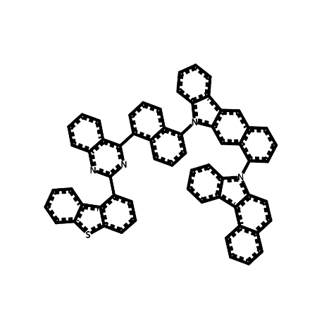 c1cc(-n2c3ccccc3c3c4ccccc4ccc32)c2cc3c(cc2c1)c1ccccc1n3-c1cccc2c(-c3nc(-c4cccc5sc6ccccc6c45)nc4ccccc34)cccc12